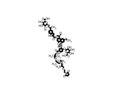 COc1ccc2c(OS(=O)(=O)Oc3cc(C(=O)NCC(C)(C)COCC(C)(C)CN(N)/C=C(\N)COCCN4C(=O)C=CC4=O)ccc3O[C@@H]3O[C@H](C(=O)O)[C@@H](O)[C@H](O)[C@H]3O)cc3c(c2c1)[C@H](CCl)CN3C(=O)c1cc2cc(/C(C)=N/O[C@@H]3O[C@H](C(=O)O)[C@@H](O)[C@H](O)[C@H]3O)ccc2[nH]1